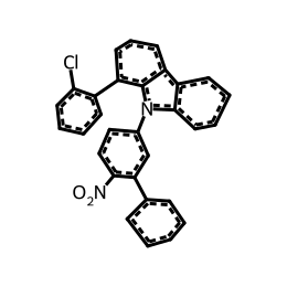 O=[N+]([O-])c1ccc(-n2c3ccccc3c3cccc(-c4ccccc4Cl)c32)cc1-c1ccccc1